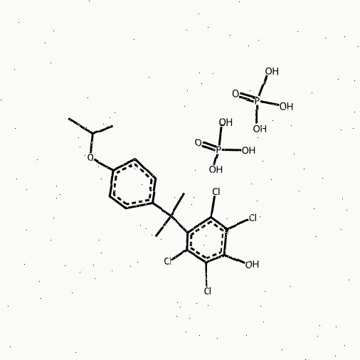 CC(C)Oc1ccc(C(C)(C)c2c(Cl)c(Cl)c(O)c(Cl)c2Cl)cc1.O=P(O)(O)O.O=P(O)(O)O